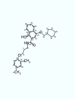 Cc1ccc(OCCCNC(=O)c2cc(OCC3CCCCC3)c3ccccc3c2O)c(C)c1